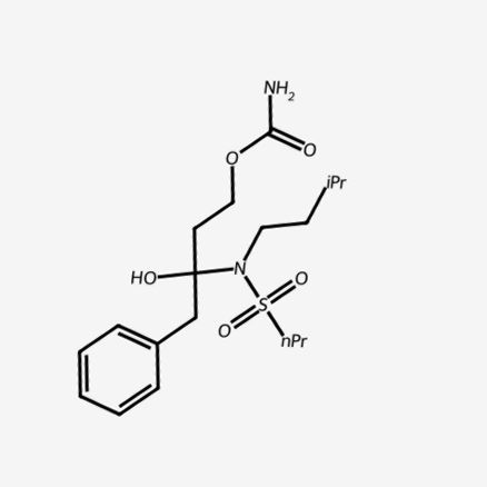 CCCS(=O)(=O)N(CCC(C)C)C(O)(CCOC(N)=O)Cc1ccccc1